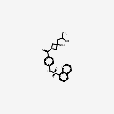 CC(O)CC1(O)CN(C(=O)c2ccc(NS(=O)(=O)c3cccc4cccnc34)cc2)C1